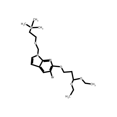 CCOC(CCOc1nc2c(ccn2COCC[Si](C)(C)C)cc1Br)OCC